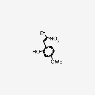 CCC(=Cc1ccc(OC)cc1O)[N+](=O)[O-]